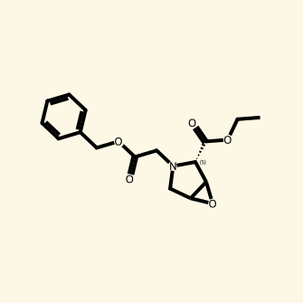 CCOC(=O)[C@@H]1C2OC2CN1CC(=O)OCc1ccccc1